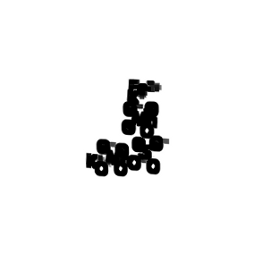 O=S(=O)([O-])[O-].[Fe+2].[K+].[K+].[O]=[Mn](=[O])(=[O])[O-].[O]=[Mn](=[O])(=[O])[O-]